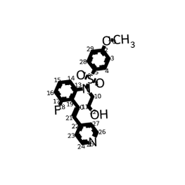 COc1ccc(S(=O)(=O)N(CCO)c2cccc(F)c2/C=C/c2ccncc2)cc1